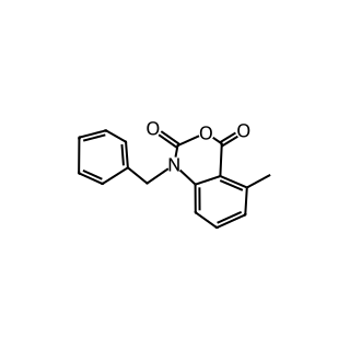 Cc1cccc2c1c(=O)oc(=O)n2Cc1ccccc1